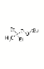 CCC(C)(CC)OOC(C)(C)C